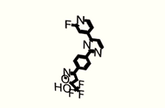 OC1(C(F)(F)F)CC(c2ccc(-c3nccc(-c4ccnc(F)c4)n3)cc2)=NO1